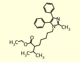 CCOC(=O)C(CCCCCn1c(C)nc(-c2ccccc2)c1-c1ccccc1)C(C)C